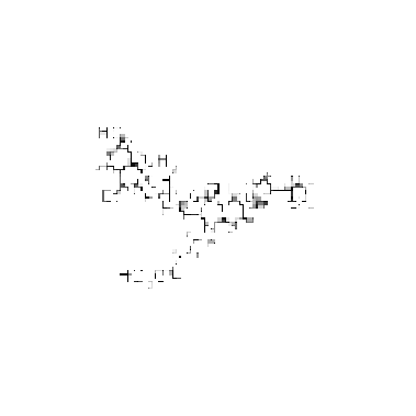 CCN1/C(=C/C=C/C=C/C2=[N+](CCCCCC(=O)O)c3ccc(-c4ccc(-c5cccs5)s4)cc3C2(C)C)C(C)(C)c2cc([N+](=O)[O-])ccc21